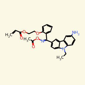 C=CC(=O)OCCOc1ccccc1/C(=N\OC(C)=O)c1ccc2c(c1)c1cc(N)ccc1n2CC